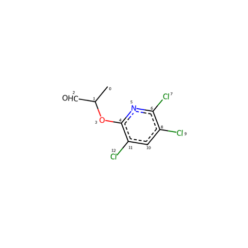 CC(C=O)Oc1nc(Cl)c(Cl)cc1Cl